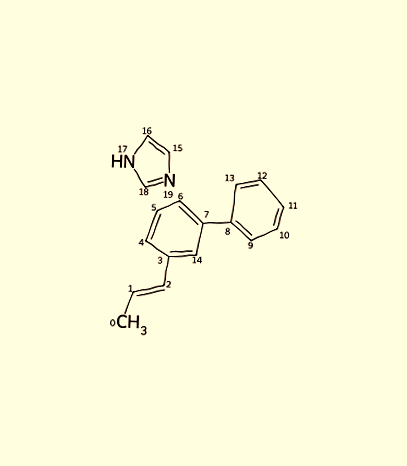 CC=Cc1cccc(-c2ccccc2)c1.c1c[nH]cn1